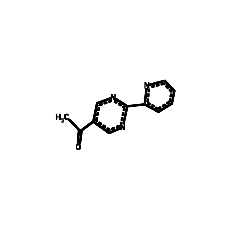 CC(=O)c1cnc(-c2ccccn2)nc1